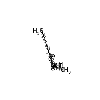 CCCCCCCCCCCCCCCCCC(=O)OCCCOP(C)(=O)OCCNC